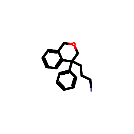 ICCCC1(c2ccccc2)COCc2ccccc21